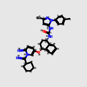 Cc1ccc(-n2nc(C(C)(C)C)cc2NC(=O)N[C@H]2CC[C@@H](Oc3ccc(=N)n(C(=N)C4CCCCC4)c3)c3ccccc32)cc1